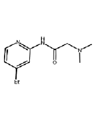 CCc1ccnc(NC(=O)CN(C)C)c1